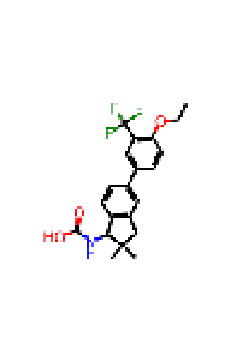 CCOc1ccc(-c2ccc3c(c2)CC(C)(C)C3NC(=O)O)cc1C(F)(F)F